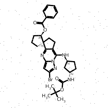 CC(C)(C)OC(=O)N[C@H]1CC[C@H](Nc2c3c(nc4cc(Br)nn24)[C@]2(CCC[C@H]2OC(=O)c2ccccc2)CC3)C1